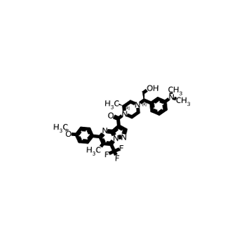 COc1ccc(-c2nc3c(C(=O)N4CCN([C@@H](CO)c5cccc(N(C)C)c5)C[C@H]4C)cnn3c(C(F)(F)F)c2C)cc1